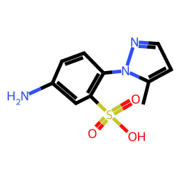 Cc1ccnn1-c1ccc(N)cc1S(=O)(=O)O